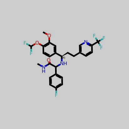 CNC(=O)C(N[C@H](CCc1ccc(C(F)(F)F)nc1)c1ccc(OC(F)F)c(OC)c1)c1ccc(F)cc1